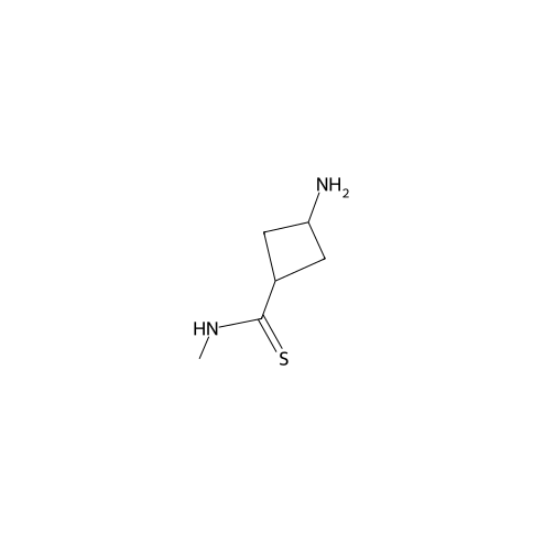 CNC(=S)C1CC(N)C1